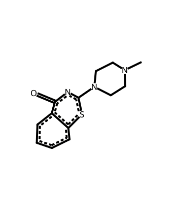 CN1CCN(c2nc(=O)c3ccccc3s2)CC1